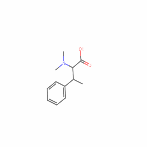 CC(c1ccccc1)C(C(=O)O)N(C)C